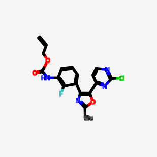 C=CCOC(=O)Nc1cccc(-c2nc(C(C)(C)C)oc2-c2ccnc(Cl)n2)c1F